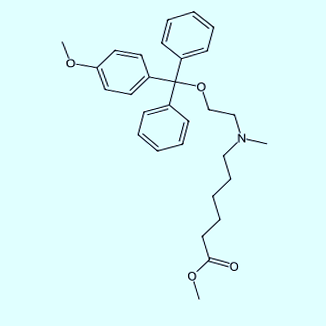 COC(=O)CCCCCN(C)CCOC(c1ccccc1)(c1ccccc1)c1ccc(OC)cc1